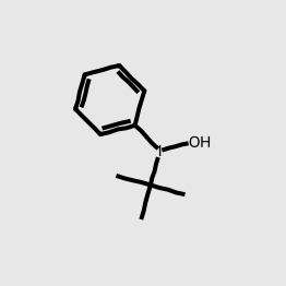 CC(C)(C)I(O)c1ccccc1